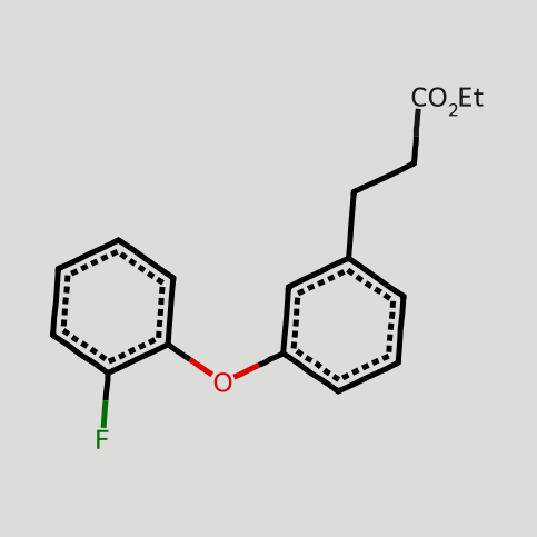 CCOC(=O)CCc1cccc(Oc2ccccc2F)c1